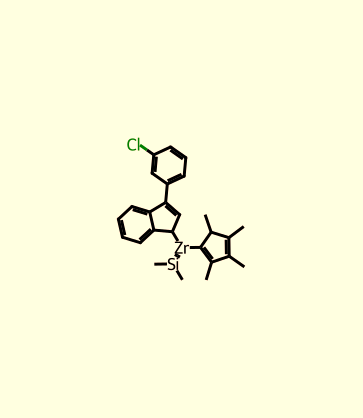 CC1=C(C)C(C)[C]([Zr]([CH]2C=C(c3cccc(Cl)c3)c3ccccc32)=[Si](C)C)=C1C